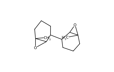 CC12CCCC(C3CCCC4(C)OC34)C1O2